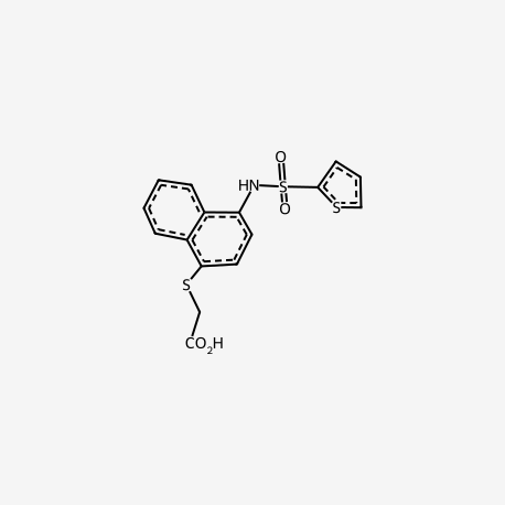 O=C(O)CSc1ccc(NS(=O)(=O)c2cccs2)c2ccccc12